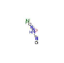 O=C(NCCC1CCN(Cc2ccccc2)CC1)N1CCN(c2ccc(C(F)(F)F)cc2)CC1